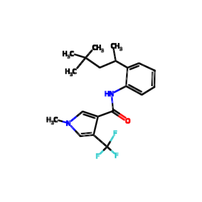 CC(CC(C)(C)C)c1ccccc1NC(=O)c1cn(C)cc1C(F)(F)F